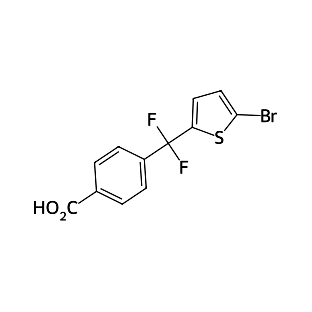 O=C(O)c1ccc(C(F)(F)c2ccc(Br)s2)cc1